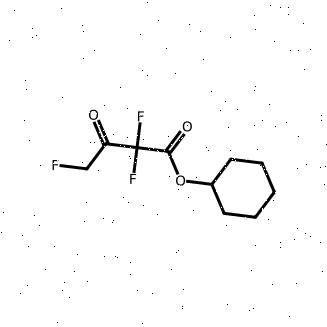 O=C(CF)C(F)(F)C(=O)OC1CCCCC1